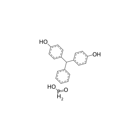 O=[PH2]O.Oc1ccc(C(c2ccccc2)c2ccc(O)cc2)cc1